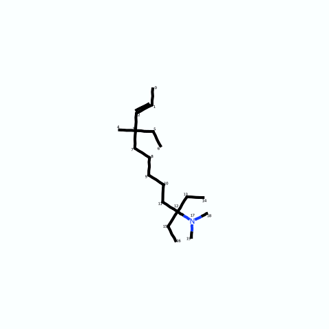 CC=CC(C)(CC)CCCCCC(CC)(CC)N(C)C